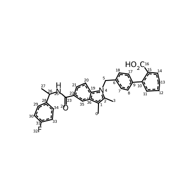 Cc1c(C)n(Cc2ccc(-c3ccccc3C(=O)O)cc2)c2ccc(C(=O)NC(C)c3ccc(F)cc3)cc12